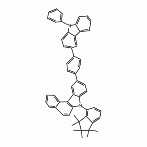 CC1(C)c2cccc(-n3c4ccc(-c5ccc(-c6ccc7c(c6)c6ccccc6n7-c6ccccc6)cc5)cc4c4c5ccccc5ccc43)c2C(C)(C)C1(C)C